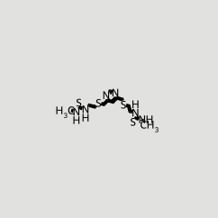 CNC(=S)NCCSCc1cc(CSCCNC(=S)NC)ncn1